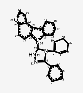 C1=CC(N2C(c3ccccc3)=NNC2n2c3ccccc3c3c4ccoc4ccc32)=CCC1